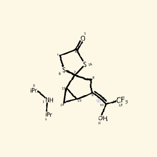 CC(C)NC(C)C.O=C1CSC2(C/C(=C(/O)C(F)(F)F)C3CC32)S1